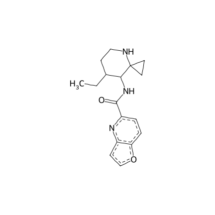 CCC1CCNC2(CC2)C1NC(=O)c1ccc2occc2n1